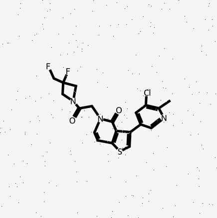 Cc1ncc(-c2csc3ccn(CC(=O)N4CC(F)(CF)C4)c(=O)c23)cc1Cl